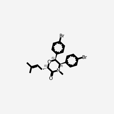 CC(C)=CC[C@@H]1O[C@@H](c2ccc(Br)cc2)[C@@H](c2ccc(Br)cc2)N(C)C1=O